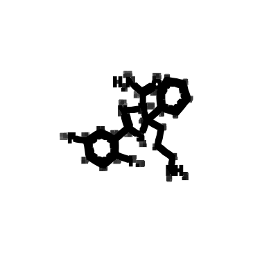 NCCCC1(c2ccccc2)SC(c2cc(F)ccc2F)=NN1C(N)=O